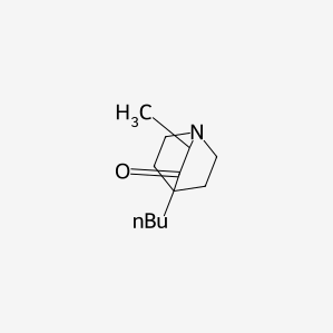 CCCCC12CCN(CC1)C(C)C2=O